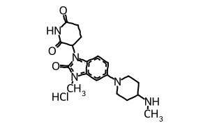 CNC1CCN(c2ccc3c(c2)n(C)c(=O)n3C2CCC(=O)NC2=O)CC1.Cl